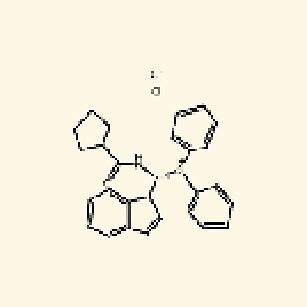 O=C([NH][Zr+2]([CH]1C=Cc2ccccc21)[SiH](c1ccccc1)c1ccccc1)C1CCCC1.[Cl-].[Cl-]